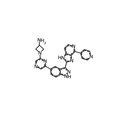 NC1CN(c2cncc(-c3ccc4[nH]nc(-c5nc6c(-c7ccncc7)nccc6[nH]5)c4c3)n2)C1